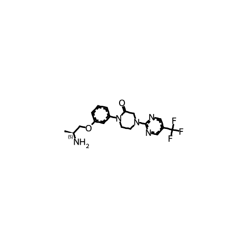 C[C@H](N)COc1cccc(N2CCN(c3ncc(C(F)(F)F)cn3)CC2=O)c1